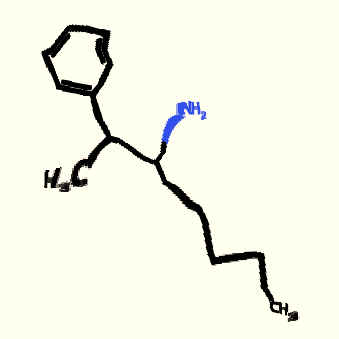 CCCCCC(N)C(C)c1ccccc1